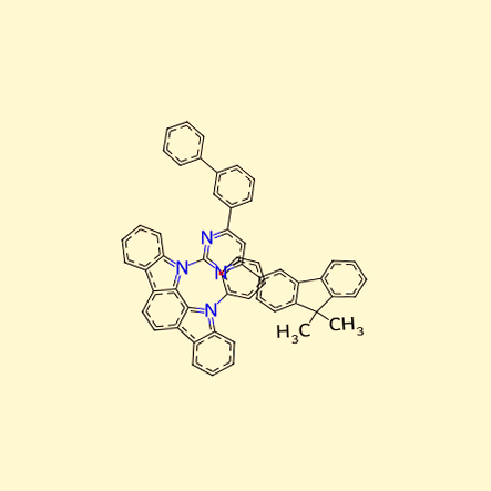 CC1(C)c2ccccc2-c2cc(-c3cc(-c4cccc(-c5ccccc5)c4)nc(-n4c5ccccc5c5ccc6c7ccccc7n(-c7ccccc7)c6c54)n3)ccc21